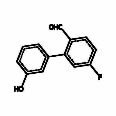 O=Cc1ccc(F)cc1-c1cccc(O)c1